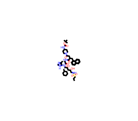 CCCS(=O)(=O)NC[C@@H](O)C[C@H](O)[C@H](CC1CCCCC1)NC(=O)[C@H](Cc1c[nH]cn1)NC(=O)C(CC(=O)N1CCC(NC(=O)OC(C)(C)C)CC1)Cc1cccc2ccccc12